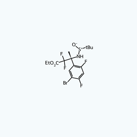 CCOC(=O)C(F)(F)[C@](C)(N[S+]([O-])C(C)(C)C)c1cc(Br)c(F)cc1F